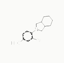 Cc1ccc(N2CC3CCCCC3C2)c(Br)c1